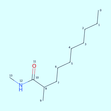 CCCCCCCCC(C)C(=O)NC